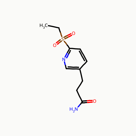 CCS(=O)(=O)c1ccc(CCC(N)=O)cn1